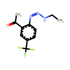 CCN/N=N\c1ccc(C(F)(F)F)cc1C(C)=O